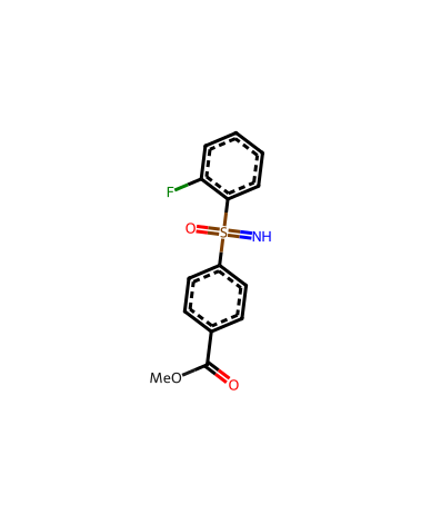 COC(=O)c1ccc(S(=N)(=O)c2ccccc2F)cc1